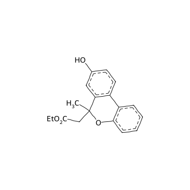 CCOC(=O)CC1(C)Oc2ccccc2-c2ccc(O)cc21